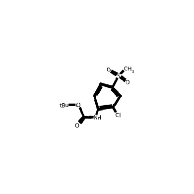 CC(C)(C)OC(=O)Nc1ccc(S(C)(=O)=O)cc1Cl